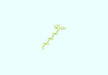 S=S=S=S=S=S=S=[SH](=S)S